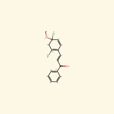 COC1(Cl)C=CC(/C=C/C(=O)c2ccccc2)=C(Cl)C1